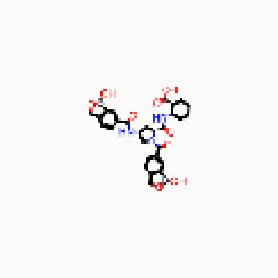 O=C(N[C@@H]1C[C@@H](C(=O)N[C@H]2CCCC[C@@H]2C(=O)O)N(C(=O)c2ccc3c(c2)B(O)OC3)C1)c1ccc2c(c1)B(O)OC2